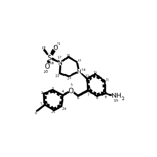 Cc1ccc(OCc2cc(N)ccc2N2CCN(S(C)(=O)=O)CC2)cc1